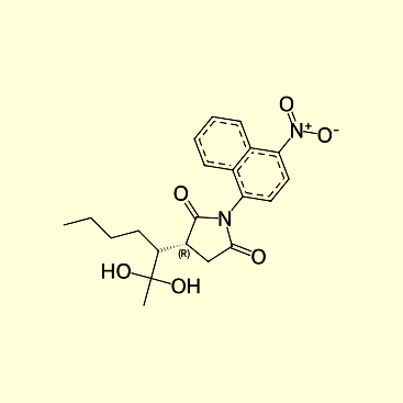 CCCCC([C@H]1CC(=O)N(c2ccc([N+](=O)[O-])c3ccccc23)C1=O)C(C)(O)O